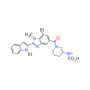 CCc1cc(C(=O)N2CCCC(NC(=O)O)C2)cc2nc(-c3cc4ccccc4n3CC)n(C)c12